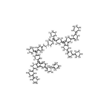 C(=C\c1ccc(N(c2ccccc2)c2ccc(-n3c4ccc(-c5cccc(-c6ccccc6)c5)cc4c4cc(-c5cccc(-c6ccccc6)c5)ccc43)cc2)cc1)/c1ccc(N(c2ccccc2)c2ccc(-n3c4ccc(-c5cccc(-c6ccccc6)c5)cc4c4cc(-c5cccc(-c6ccccc6)c5)ccc43)cc2)cc1